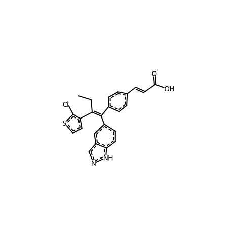 CCC(=C(c1ccc(C=CC(=O)O)cc1)c1ccc2[nH]ncc2c1)c1ccsc1Cl